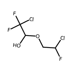 OC(OCC(F)Cl)C(F)(F)Cl